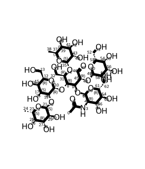 CC(=O)N[C@H]1[C@@H](O[C@@H]([C@H](O[C@H]2O[C@H](CO)[C@H](O)[C@H](O)[C@H]2O[C@@H]2O[C@@H](C)[C@@H](O)[C@@H](O)[C@@H]2O)[C@@H](CO)O[C@@H]2O[C@@H](C)[C@@H](O)[C@@H](O)[C@@H]2O)[C@H](C=O)O[C@H]2O[C@H](CO)[C@H](O)[C@H](O)[C@H]2O)O[C@H](CO)[C@@H](O)[C@@H]1O